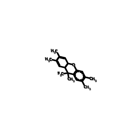 CC1=CC2Oc3cc(C)c(C)cc3C(C)(C(F)(F)F)C2C=C1C